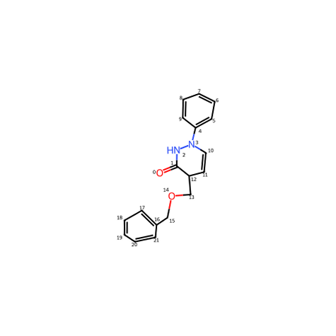 O=C1NN(c2ccccc2)C=CC1COCc1ccccc1